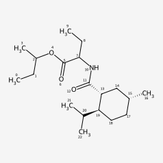 CCC(C)OC(=O)C(CC)NC(=O)[C@@H]1C[C@H](C)CC[C@H]1C(C)C